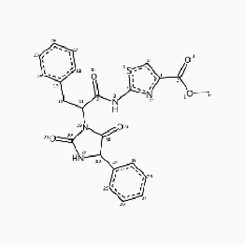 COC(=O)c1csc(NC(=O)C(Cc2ccccc2)N2C(=O)NC(c3ccccc3)C2=O)n1